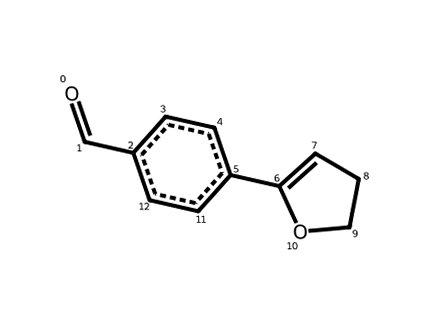 O=Cc1ccc(C2=CCCO2)cc1